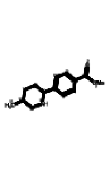 COC(=O)c1ccc(C2CCC(C)CN2)cc1